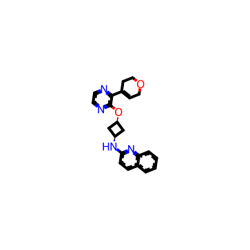 C1=C(c2nccnc2O[C@H]2C[C@@H](Nc3ccc4ccccc4n3)C2)CCOC1